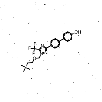 C[Si](C)(C)CCOCn1nc(-c2ccc(-c3ccc(O)cc3)cc2)nc1C(F)(F)F